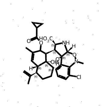 C=C(C)[C@@H]1CC[C@@H](C)[C@]2(O)C([C@H]3[C@@H](C(=O)O)N[C@@H]4ON(C)c5c(Cl)cccc5[C@@]43O)C(OC(=O)C3CC3)C(C)=C[C@@H]12